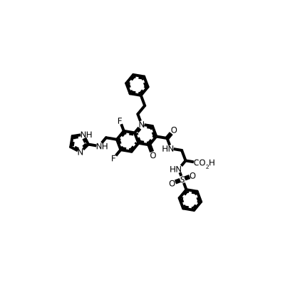 O=C(NCC(NS(=O)(=O)c1ccccc1)C(=O)O)c1cn(CCc2ccccc2)c2c(F)c(CNc3ncc[nH]3)c(F)cc2c1=O